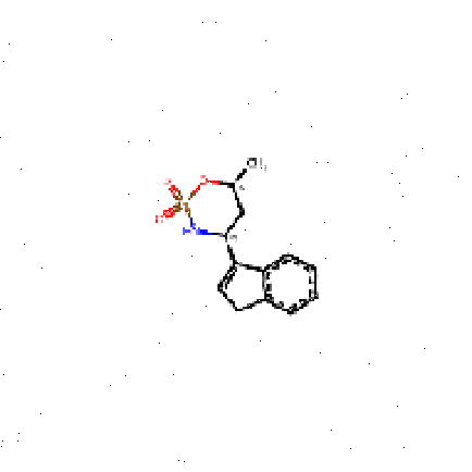 C[C@H]1C[C@@H](C2=CCc3ccccc32)NS(=O)(=O)O1